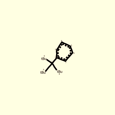 CC(C)(C)C(c1c[c][c]cc1)(C(C)(C)C)C(C)(C)C